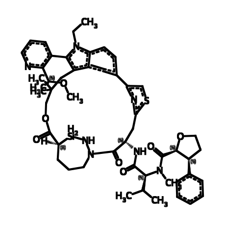 CCn1c(-c2cccnc2[C@H](C)OC)c2c3cc(ccc31)-c1csc(n1)C[C@H](NC(=O)[C@H](C(C)C)N(C)C(=O)[C@H]1OCC[C@H]1c1ccccc1)C(=O)N1CCC[C@H]([SiH2]N1)C(=O)OCC(C)(C)C2